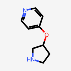 c1cc(OC2CCNC2)ccn1